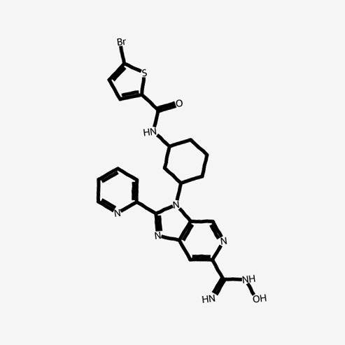 N=C(NO)c1cc2nc(-c3ccccn3)n(C3CCCC(NC(=O)c4ccc(Br)s4)C3)c2cn1